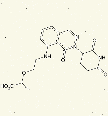 CC(OCCNc1cccc2cnn(C3CCC(=O)NC3=O)c(=O)c12)C(=O)O